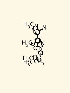 COc1cc(-c2cc(C#N)c3nc(C)cn3c2)cc2ncn(C3CCN(C(=O)OC(C)(C)C)C3)c(=O)c12